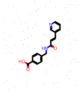 O=C(/C=C/c1cccnc1)NCc1ccc(C(=O)O)cc1